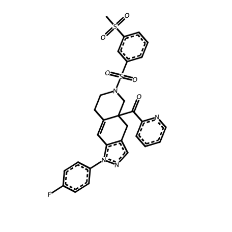 CS(=O)(=O)c1cccc(S(=O)(=O)N2CCC3=Cc4c(cnn4-c4ccc(F)cc4)CC3(C(=O)c3ccccn3)C2)c1